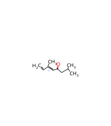 C=C/C(C)=C/C(=O)CC(C)C